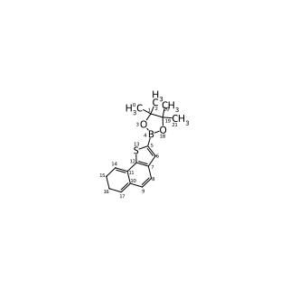 CC1(C)OB(c2cc3ccc4c(c3s2)=CCCC=4)OC1(C)C